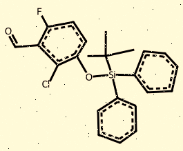 CC(C)(C)[Si](Oc1ccc(F)c(C=O)c1Cl)(c1ccccc1)c1ccccc1